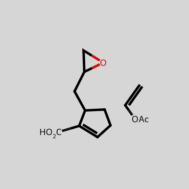 C=COC(C)=O.O=C(O)C1=CCCC1CC1CO1